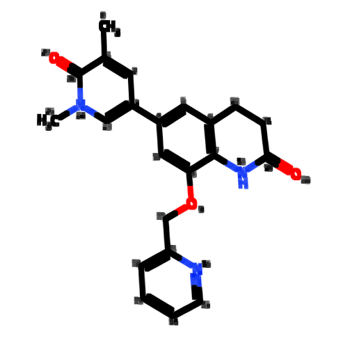 Cc1cc(-c2cc3c(c(OCc4ccccn4)c2)NC(=O)CC3)cn(C)c1=O